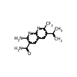 C=C(C)c1cc2cc(C(N)=O)c(N)nc2nc1C(F)(F)F